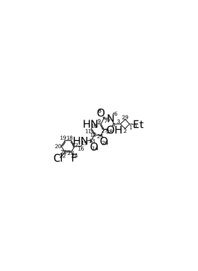 CCC1CC(CN(C)C(=O)c2[nH]cc(C(=O)NCc3cccc(Cl)c3F)c(=O)c2O)C1